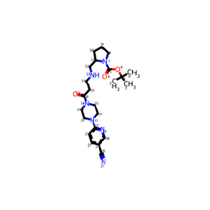 CC(C)(C)OC(=O)N1CCCC1CNCCC(=O)N1CCN(c2ccc(C#N)cn2)CC1